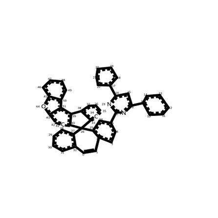 C1=Cc2ccc(-c3nc(-c4ccccc4)cc(-c4ccccc4)n3)cc2C2(c3ccccc31)c1ccccc1-c1c2ccc2oc3ccccc3c12